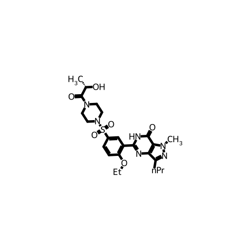 CCCc1nn(C)c2c(=O)[nH]c(-c3cc(S(=O)(=O)N4CCN(C(=O)[C@H](C)O)CC4)ccc3OCC)nc12